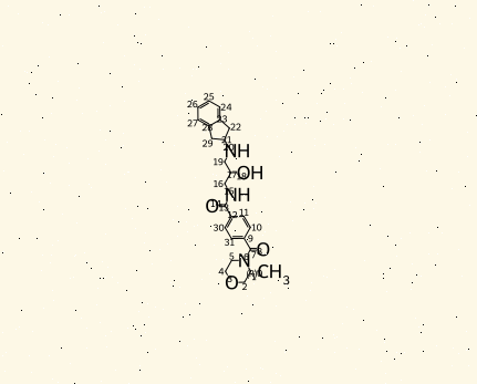 C[C@@H]1COCCN1C(=O)c1ccc(C(=O)NCC(O)CNC2Cc3ccccc3C2)cc1